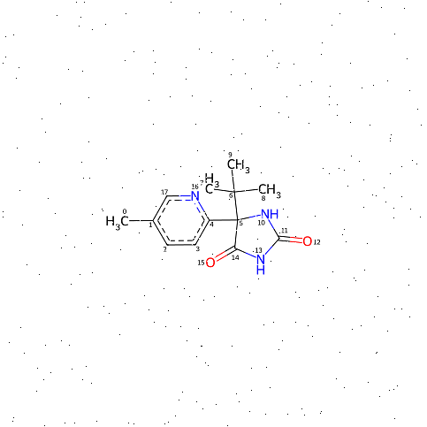 Cc1ccc(C2(C(C)(C)C)NC(=O)NC2=O)nc1